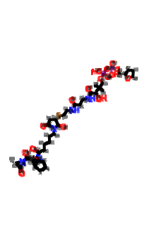 C[C@H]1C2CCC1N(C(=O)CCCCCN1C(=O)CC(SCCNC(=O)CCNC(=O)[C@H](O)C(C)(C)COP(=O)(O)OP(=O)(O)OC[C@@H]3CCCO3)C1=O)[C@@H]2C(=O)N1C(=O)[C@@H]1C